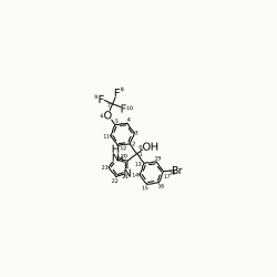 OC(c1ccc(OC(F)(F)F)cc1)(c1cccc(Br)c1)c1ncc[nH]1